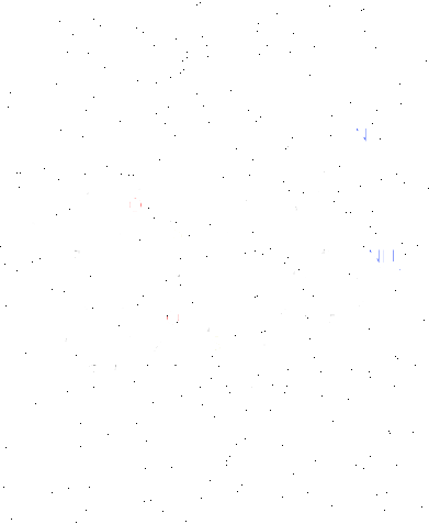 N#Cc1ccc(C#Cc2ccc(CC(=O)c3ccccc3)s2)cc1.Nc1ccc(C#Cc2ccc(CC(=O)c3ccccc3)s2)cc1